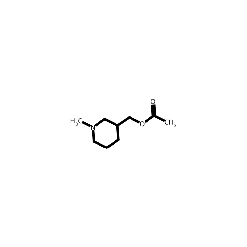 CC(=O)OCC1CCCN(C)C1